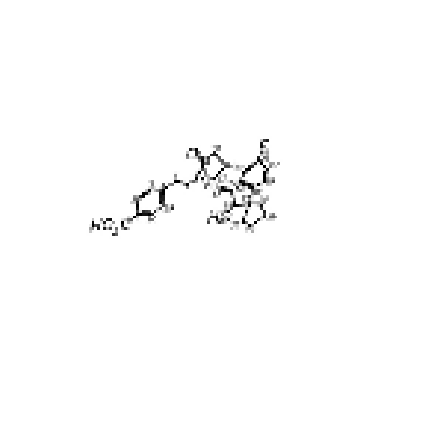 O=C(O)c1ccc(CCN2C(=O)CC[C@@H]2C=CC(O)C2(c3ccc(F)cc3)CCCC2)cc1